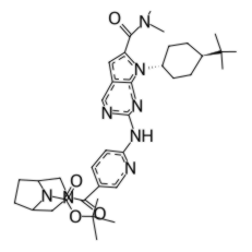 CN(C)C(=O)c1cc2cnc(Nc3ccc(C(=O)N4CC5CCC(C4)N5C(=O)OC(C)(C)C)cn3)nc2n1[C@H]1CC[C@H](C(C)(C)C)CC1